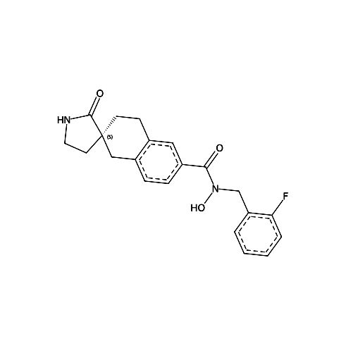 O=C(c1ccc2c(c1)CC[C@@]1(CCNC1=O)C2)N(O)Cc1ccccc1F